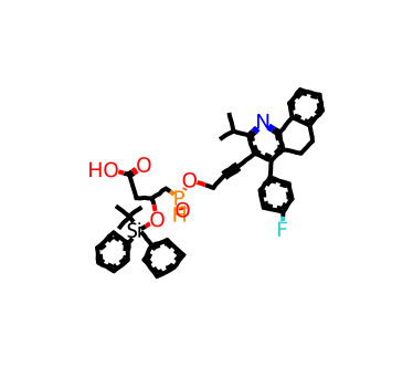 CC(C)c1nc2c(c(-c3ccc(F)cc3)c1C#CCO[PH](=O)CC(CC(=O)O)O[Si](c1ccccc1)(c1ccccc1)C(C)(C)C)CCc1ccccc1-2